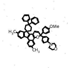 COc1ccc(C2(c3ccc(N4CCOCC4)cc3)C=Cc3c4c(c5ccc(C)cc5c3O2)-c2ccc(C)cc2C42CCC(c3ccccc3)(c3ccccc3)CC2)cc1